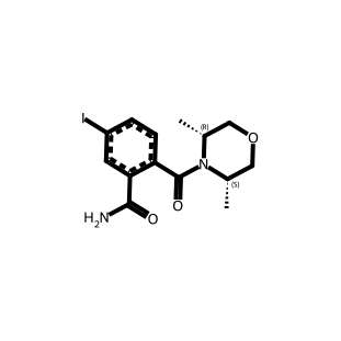 C[C@@H]1COC[C@H](C)N1C(=O)c1ccc(I)cc1C(N)=O